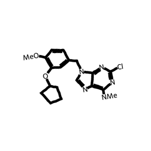 CNc1nc(Cl)nc2c1ncn2Cc1ccc(OC)c(OC2CCCC2)c1